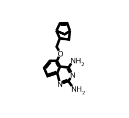 Nc1nc(N)c2c(OCC3CC4C=CC3C4)cccc2n1